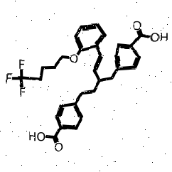 O=C(O)c1ccc(CCC(C=Cc2ccccc2OCCCCC(F)(F)F)Cc2ccc(C(=O)O)cc2)cc1